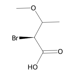 COC(C)[C@H](Br)C(=O)O